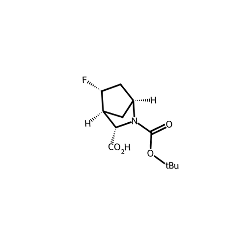 CC(C)(C)OC(=O)N1[C@H]2C[C@H]([C@H](F)C2)[C@H]1C(=O)O